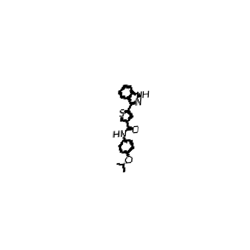 CC(C)Oc1ccc(NC(=O)c2csc(-c3n[nH]c4ccccc34)c2)cc1